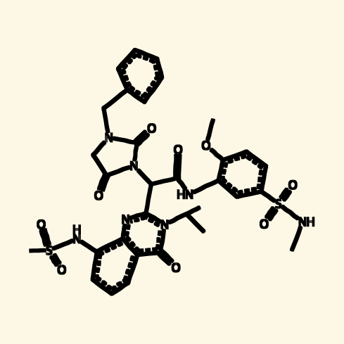 CNS(=O)(=O)c1ccc(OC)c(NC(=O)C(c2nc3c(NS(C)(=O)=O)cccc3c(=O)n2C(C)C)N2C(=O)CN(Cc3ccccc3)C2=O)c1